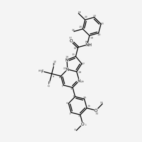 COc1ccc(-c2cc(C(F)(F)F)n3nc(C(=O)Nc4cccc(C)c4C)cc3n2)cc1OC